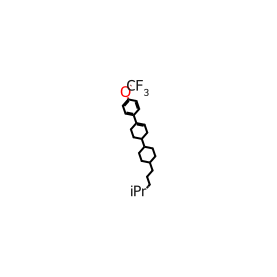 CC(C)CCCC1CCC(C2CC=C(c3ccc(OC(F)(F)F)cc3)CC2)CC1